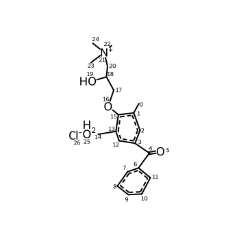 Cc1cc(C(=O)c2ccccc2)cc(C)c1OCC(O)C[N+](C)(C)C.O.[Cl-]